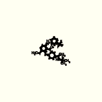 CCc1ccc(N)c(C=O)c1CN1CCC(C(=O)NC(C)(C)C)CC1.FC(F)(F)c1ccccn1